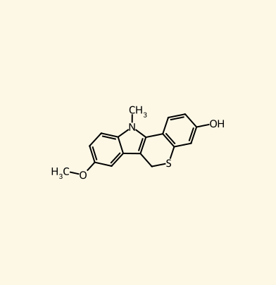 COc1ccc2c(c1)c1c(n2C)-c2ccc(O)cc2SC1